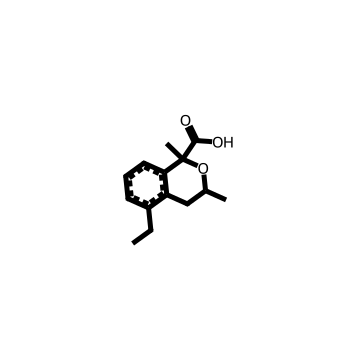 CCc1cccc2c1CC(C)OC2(C)C(=O)O